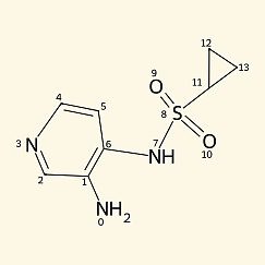 Nc1cnccc1NS(=O)(=O)C1CC1